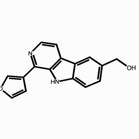 OCc1ccc2[nH]c3c(-c4ccoc4)nccc3c2c1